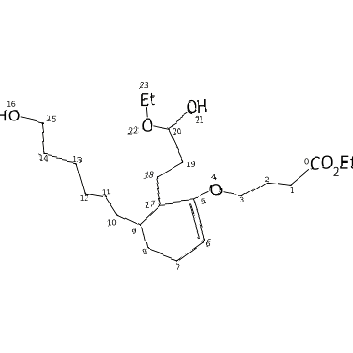 CCOC(=O)CCCOC1=CCCC(CCCCCCO)C1CCC(O)OCC